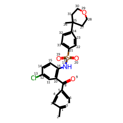 C=C(C)/C=C\C(=C/C)C(=O)c1cc(Cl)ccc1NS(=O)(=O)c1ccc(C2(C)CCOCC2)cc1